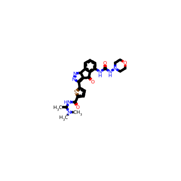 CC(NC(=O)c1ccc(C2=C3C(=O)c4c(NC(=O)NN5CCOCC5)cccc4C3N=N2)s1)N(C)C